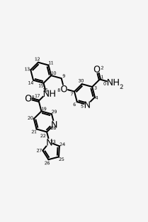 NC(=O)c1cncc(OCc2ccccc2NC(=O)c2ccc(-n3cccc3)nc2)c1